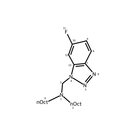 CCCCCCCCN(CCCCCCCC)Cn1nnc2ccc(F)cc21